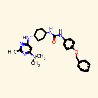 Cc1nc(N[C@H]2CC[C@@H](NC(=O)Nc3ccc(OCc4ccccc4)cc3)CC2)cc(N(C)C)n1